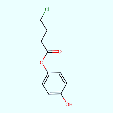 O=C(CCCCl)Oc1ccc(O)cc1